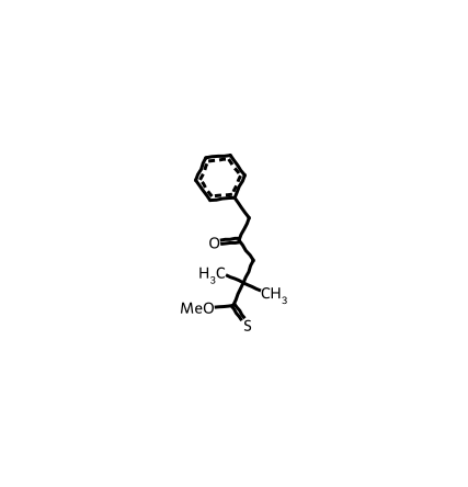 COC(=S)C(C)(C)CC(=O)Cc1ccccc1